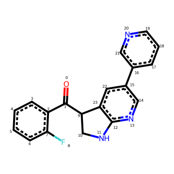 O=C(c1ccccc1F)C1CNc2ncc(-c3cccnc3)cc21